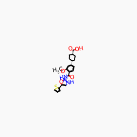 COc1cc([C@H]2CC[C@H](C(=O)O)CC2)ccc1C(=O)NN1NC=C(c2cccs2)O1